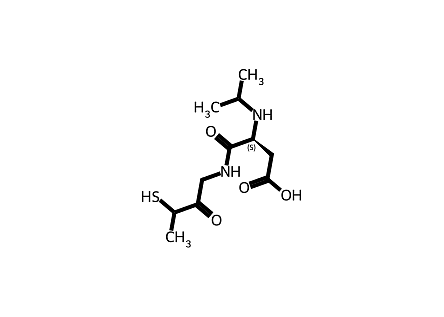 CC(C)N[C@@H](CC(=O)O)C(=O)NCC(=O)C(C)S